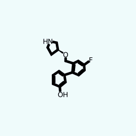 Oc1cccc(-c2ccc(F)cc2CO[C@H]2CCNC2)c1